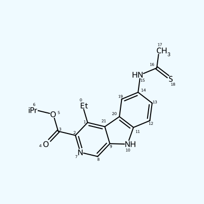 CCc1c(C(=O)OC(C)C)ncc2[nH]c3ccc(NC(C)=S)cc3c12